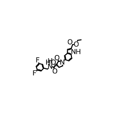 CCOC(=O)c1cc2cc(N3CC[C@](O)(C(=O)NCc4cc(F)cc(F)c4)C3=O)ccc2[nH]1